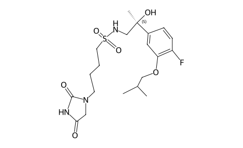 CC(C)COc1cc([C@](C)(O)CNS(=O)(=O)CCCCN2CC(=O)NC2=O)ccc1F